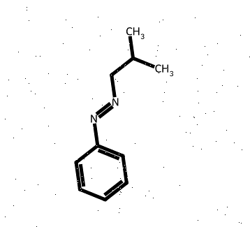 CC(C)C/N=N/c1ccccc1